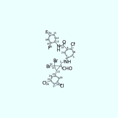 O=CC1(CNc2ccc(Cl)c(C(=O)Nc3ccc(F)cc3F)c2)C(c2cc(Cl)cc(Cl)c2)C1(Br)Br